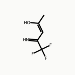 C/C(O)=C/C(=N)C(F)(F)F